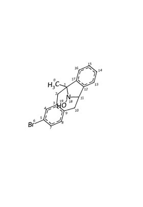 CC12Cc3cc(Br)ccc3CC(c3ccccc31)N2O